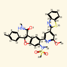 CNC(=O)c1c(-c2ccc(C)cc2)oc2cc(N(C)S(C)(=O)=O)c(-c3cc(-c4nc5ccccc5s4)cc(OC)n3)cc12